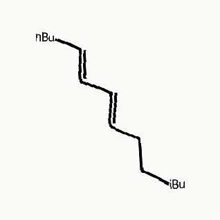 [CH2]C(CC)CCC=CC=CCCCC